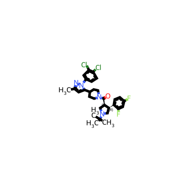 Cc1cc(C2CCN(C(=O)[C@@H]3CN(C(C)(C)C)C[C@H]3c3ccc(F)cc3F)CC2)n(-c2ccc(Cl)c(Cl)c2)n1